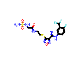 N=C(Nc1ccc(F)c(C(F)F)c1)c1nonc1SCCNC(=O)CNS(N)(=O)=O